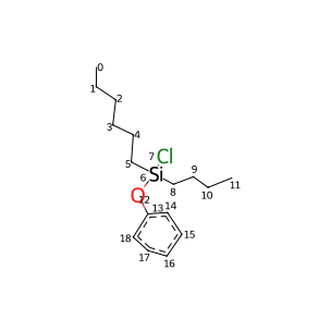 CCCCCC[Si](Cl)(CCCC)Oc1ccccc1